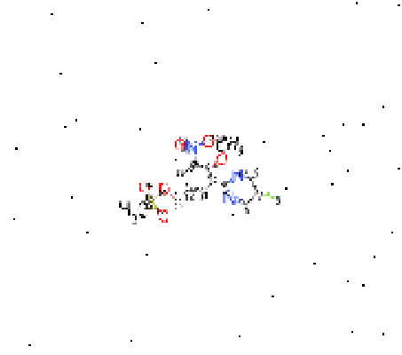 COc1c(-c2ncc(F)cn2)cc(COS(C)(=O)=O)cc1[N+](=O)[O-]